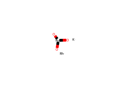 [K].[O]=[Ru](=[O])=[O].[Rh]